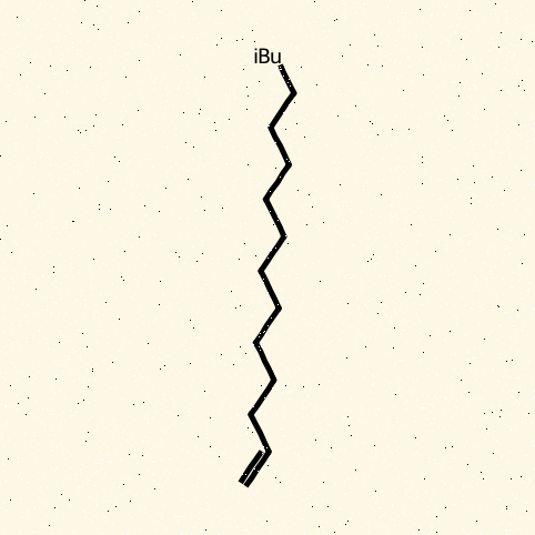 C=CCCCCCCCCCCC(C)CC